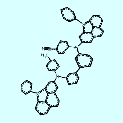 Cc1ccc(N(c2cccc(-c3cccc(N(c4ccc(C#N)cc4)c4cc5ccc6cccc7c6c5c(c4)n7-c4ccccc4)c3)c2)c2cc3ccc4cccc5c4c3c(c2)n5-c2ccccc2)cc1